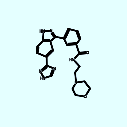 O=C(NCCN1CCOCC1)c1cccc(-c2n[nH]c3ccc(-c4nc[nH]n4)cc23)c1